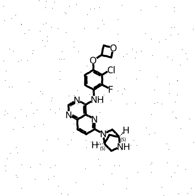 Fc1c(Nc2ncnc3ccc(N4C[C@@H]5C[C@H]4CN5)nc23)ccc(OC2COC2)c1Cl